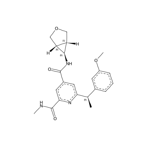 CNC(=O)c1cc(C(=O)N[C@H]2[C@@H]3COC[C@@H]32)cc([C@H](C)c2cccc(OC)c2)n1